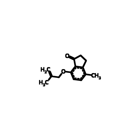 C=C(C)COc1ccc(C)c2c1C(=O)CC2